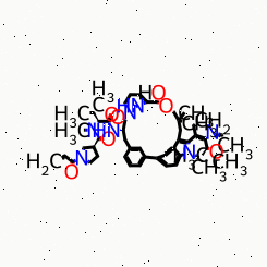 C=CC(=O)N1CC[C@H](C(=O)N(C)[C@H](C(=O)N[C@H]2Cc3cccc(c3)-c3ccc4c(c3)c(c(/C(C=C)=C(/N=C\C)[C@H](C)OC)n4CC)CC(C)(C)COC(=O)[C@@H]3CCCN(N3)C2=O)C(C)C)C1